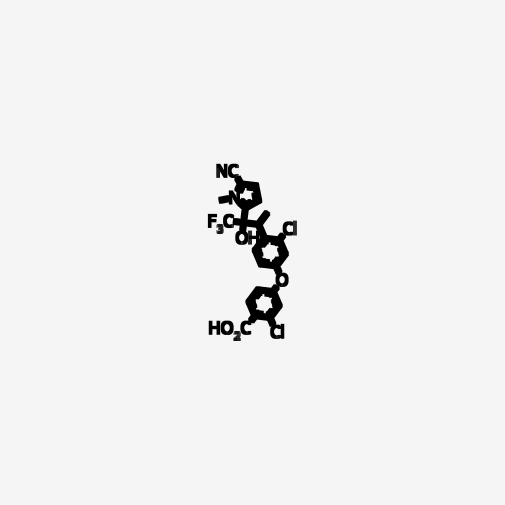 CC(c1ccc(Oc2ccc(C(=O)O)c(Cl)c2)cc1Cl)C(O)(c1ccc(C#N)n1C)C(F)(F)F